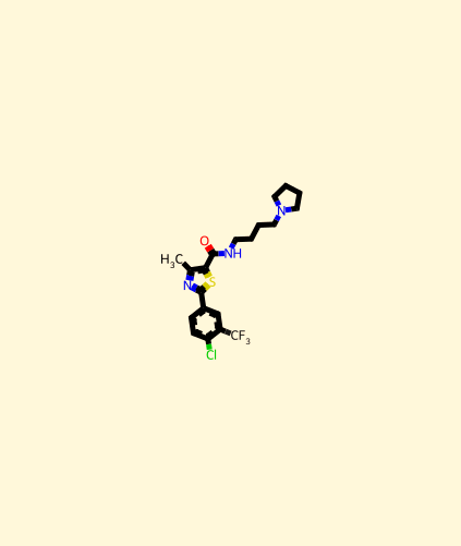 Cc1nc(-c2ccc(Cl)c(C(F)(F)F)c2)sc1C(=O)NCCCCN1CCCC1